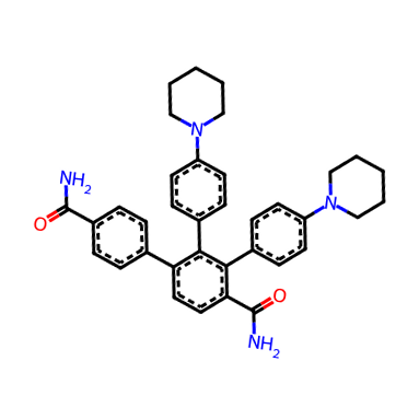 NC(=O)c1ccc(-c2ccc(C(N)=O)c(-c3ccc(N4CCCCC4)cc3)c2-c2ccc(N3CCCCC3)cc2)cc1